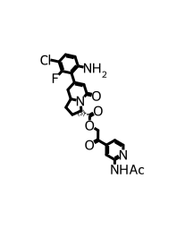 CC(=O)Nc1cc(C(=O)COC(=O)[C@@H]2CCC3CC(c4c(N)ccc(Cl)c4F)=CC(=O)N32)ccn1